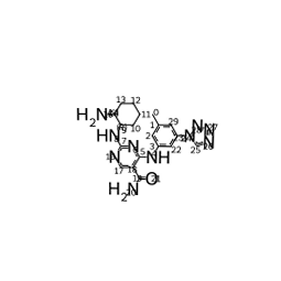 Cc1cc(Nc2nc(N[C@@H]3CCCC[C@@H]3N)ncc2C(N)=O)cc(-n2cnnn2)c1